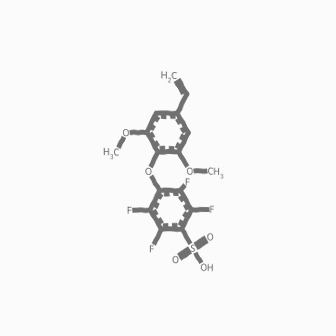 C=Cc1cc(OC)c(Oc2c(F)c(F)c(S(=O)(=O)O)c(F)c2F)c(OC)c1